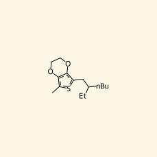 CCCCC(CC)Cc1sc(C)c2c1OCCO2